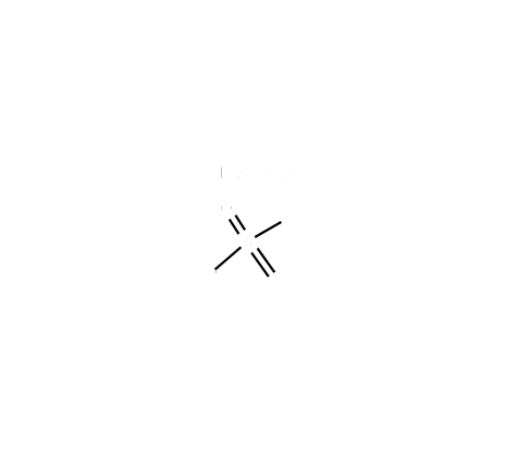 C.O=S(=O)([O-])[O-].[Ca+2]